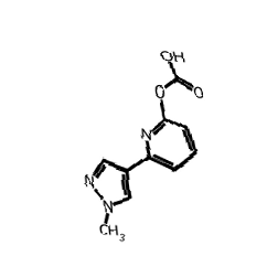 Cn1cc(-c2cccc(OC(=O)O)n2)cn1